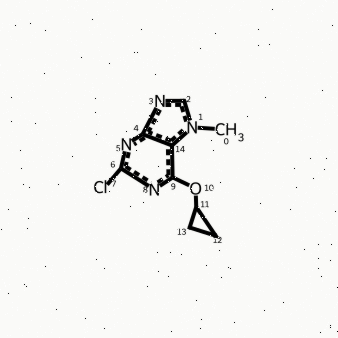 Cn1cnc2nc(Cl)nc(OC3CC3)c21